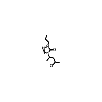 CCCn1nnn(C(C)CC(C)Cl)c1=O